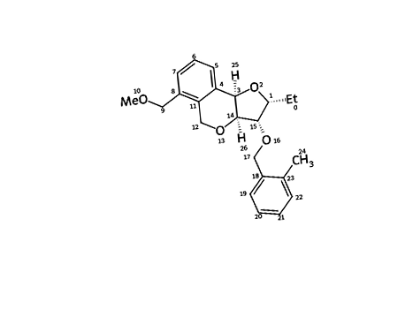 CC[C@H]1O[C@@H]2c3cccc(COC)c3CO[C@@H]2[C@H]1OCc1ccccc1C